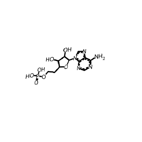 Nc1ncnc2c1ncn2C1OC(CCOP(=O)(O)O)C(O)C1O